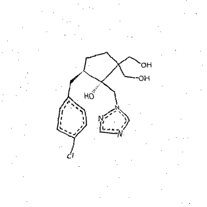 OCC1(CO)CC[C@H](Cc2ccc(Cl)cc2)[C@]1(O)Cn1cncn1